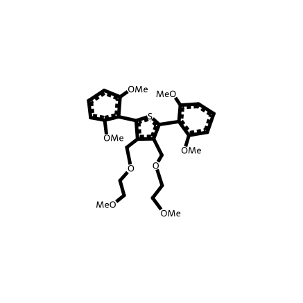 COCCOCc1c(-c2c(OC)cccc2OC)sc(-c2c(OC)cccc2OC)c1COCCOC